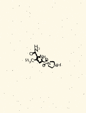 Cc1cc(S(=O)(=O)N2CCNCC2)[nH]c1C(N)=O